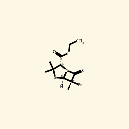 CC1(C)S[C@H]2N(C(=S)[C@]2(C)Br)[C@H]1C(=O)OCC(Cl)(Cl)Cl